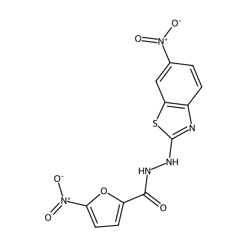 O=C(NNc1nc2ccc([N+](=O)[O-])cc2s1)c1ccc([N+](=O)[O-])o1